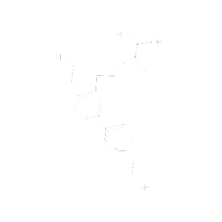 C=C(C)C(=O)OCCc1cc(-c2ccc(CCO)cc2)ccc1CCC